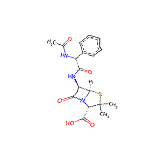 CC(=O)NC(C(=O)N[C@@H]1C(=O)N2[C@@H]1SC(C)(C)[C@@H]2C(=O)O)c1ccccc1